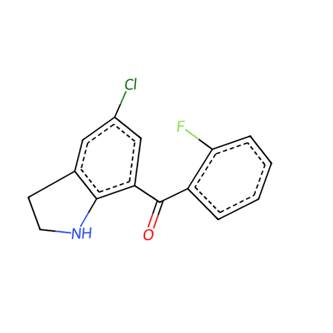 O=C(c1ccccc1F)c1cc(Cl)cc2c1NCC2